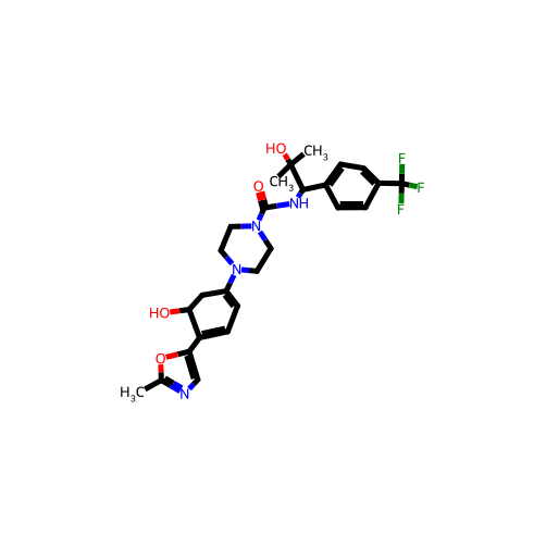 Cc1ncc(C2=CC=C(N3CCN(C(=O)NC(c4ccc(C(F)(F)F)cc4)C(C)(C)O)CC3)CC2O)o1